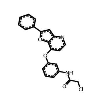 O=C(CCl)Nc1cccc(Oc2ccnc3cc(-c4ccccc4)oc23)c1